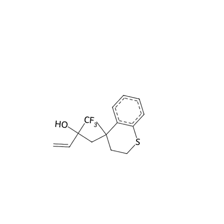 C=CC(O)(CC1(C)CCSc2ccccc21)C(F)(F)F